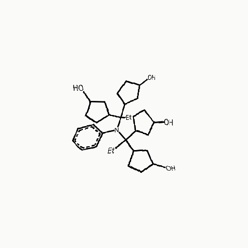 CCC(C1CCC(O)C1)(C1CCC(O)C1)N(c1ccccc1)C(CC)(C1CCC(O)C1)C1CCC(O)C1